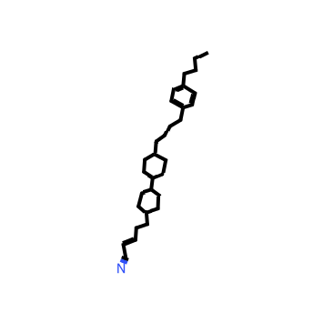 CCCCc1ccc(CCCCC2CCC(C3CCC(CCC=CC#N)CC3)CC2)cc1